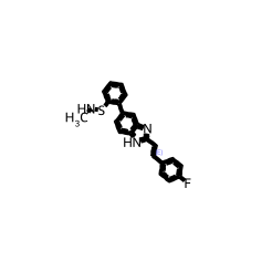 CNSc1ccccc1-c1ccc2[nH]c(/C=C/c3ccc(F)cc3)nc2c1